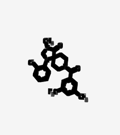 CN1CN(c2ccccc2Cl)C2(CCN(C(=O)c3cc(C(F)(F)F)cc(C(F)(F)F)c3)CC2)C1=O